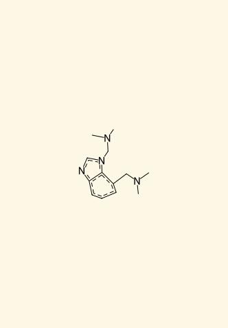 CN(C)Cc1cccc2ncn(CN(C)C)c12